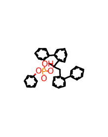 CC(Cc1ccccc1-c1ccccc1)(OP(=O)(O)Oc1ccccc1)c1ccccc1-c1ccccc1